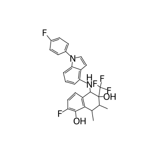 CC1c2c(ccc(F)c2O)C(Nc2cccc3c2ccn3-c2ccc(F)cc2)C(O)(C(F)(F)F)C1C